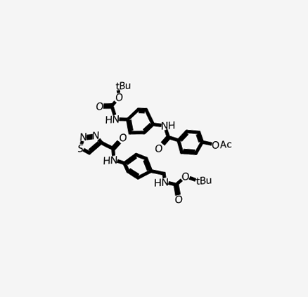 CC(=O)Oc1ccc(C(=O)Nc2ccc(NC(=O)OC(C)(C)C)cc2)cc1.CC(C)(C)OC(=O)NCc1ccc(NC(=O)c2csnn2)cc1